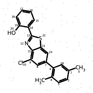 Cc1ccc(C)c(-c2cc(Cl)c3nc(-c4ccccc4O)sc3c2)c1